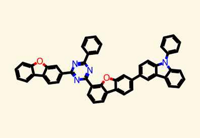 c1ccc(-c2nc(-c3ccc4c(c3)oc3ccccc34)nc(-c3cccc4c3oc3cc(-c5ccc6c(c5)c5ccccc5n6-c5ccccc5)ccc34)n2)cc1